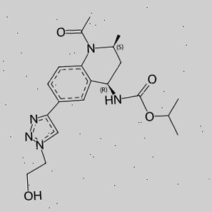 CC(=O)N1c2ccc(-c3cn(CCO)nn3)cc2[C@H](NC(=O)OC(C)C)C[C@@H]1C